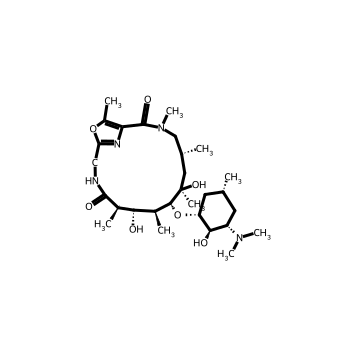 Cc1oc2nc1C(=O)N(C)C[C@H](C)C[C@@](C)(O)[C@H](O[C@@H]1C[C@H](C)C[C@H](N(C)C)[C@H]1O)[C@@H](C)[C@H](O)[C@@H](C)C(=O)NC2